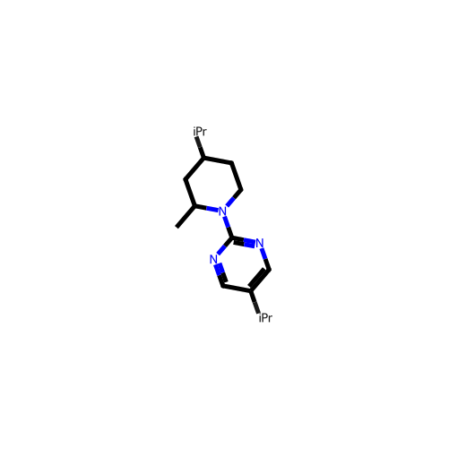 CC(C)c1cnc(N2CCC(C(C)C)CC2C)nc1